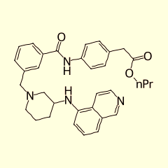 CCCOC(=O)Cc1ccc(NC(=O)c2cccc(CN3CCCC(Nc4cccc5cnccc45)C3)c2)cc1